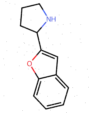 c1ccc2oc(C3CCCN3)cc2c1